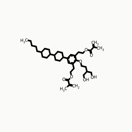 C=C(C)C(=O)OCCc1cc(C2CCC(C3CCC(CCCCC)CC3)CC2)cc(CCOC(=O)C(=C)C)c1OCCC(CO)CO